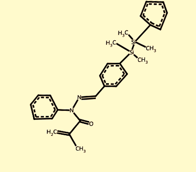 C=C(C)C(=O)N(/N=C/c1ccc([Si](C)(C)[Si](C)(C)c2ccccc2)cc1)c1ccccc1